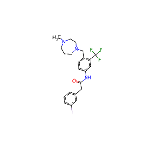 CN1CCCN(Cc2ccc(NC(=O)Cc3cccc(I)c3)cc2C(F)(F)F)CC1